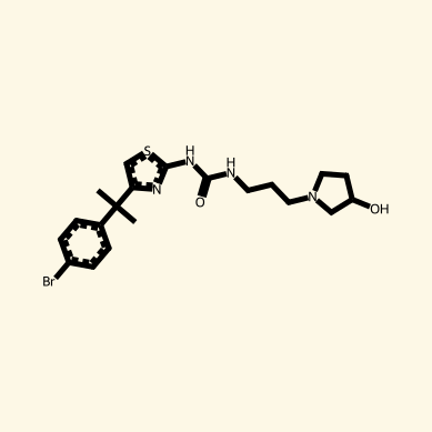 CC(C)(c1ccc(Br)cc1)c1csc(NC(=O)NCCCN2CCC(O)C2)n1